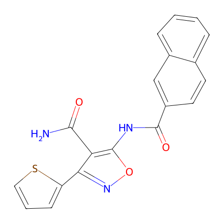 NC(=O)c1c(-c2cccs2)noc1NC(=O)c1ccc2ccccc2c1